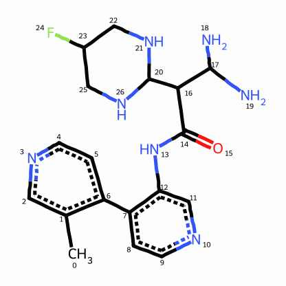 Cc1cnccc1-c1ccncc1NC(=O)C(C(N)N)C1NCC(F)CN1